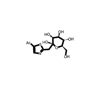 CC(=O)c1cnc(C[C@@]2(O)O[C@H](CO)[C@@H](O)[C@H](O)[C@@H]2O)s1